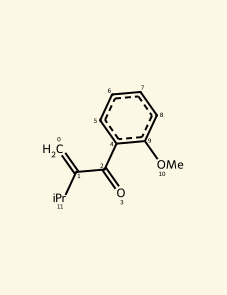 C=C(C(=O)c1ccccc1OC)C(C)C